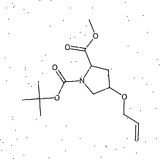 C=CCOC1CC(C(=O)OC)N(C(=O)OC(C)(C)C)C1